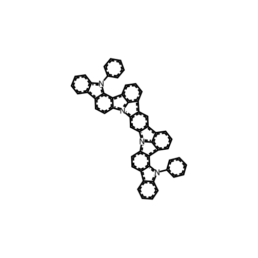 c1ccc(-n2c3ccccc3c3ccc4c(c5cccc6c7cc8c9cccc%10c%11c%12c(ccc%11n(c8cc7n4c65)c9%10)c4ccccc4n%12-c4ccccc4)c32)cc1